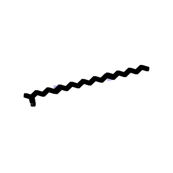 CCCCCC/C=C/CCCCCCC/C=C/CCCC(C)=O